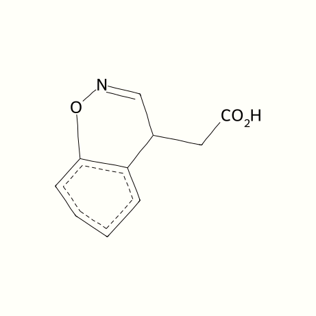 O=C(O)CC1C=NOc2ccccc21